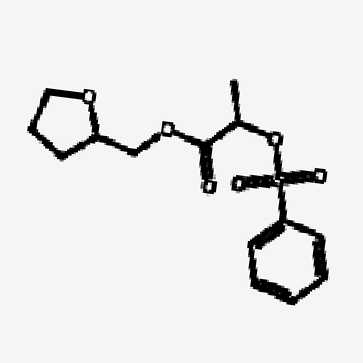 CC(OS(=O)(=O)c1ccccc1)C(=O)OCC1CCCO1